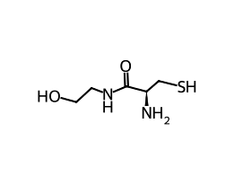 N[C@H](CS)C(=O)NCCO